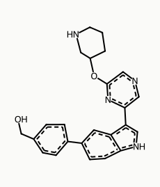 OCc1ccc(-c2ccc3[nH]cc(-c4cncc(OC5CCCNC5)n4)c3c2)cc1